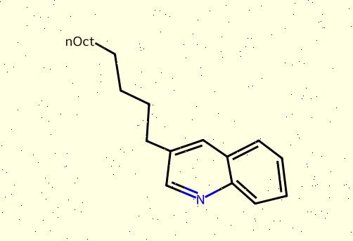 CCCCCCCCCCCCc1cnc2ccccc2c1